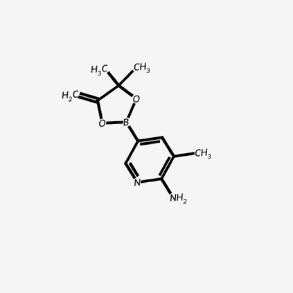 C=C1OB(c2cnc(N)c(C)c2)OC1(C)C